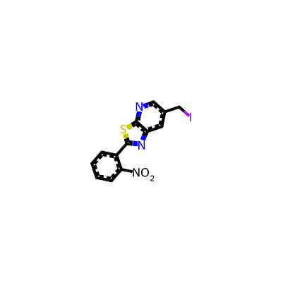 O=[N+]([O-])c1ccccc1-c1nc2cc(CI)cnc2s1